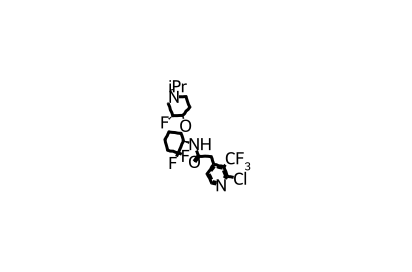 CC(C)N1CC[C@H](O[C@H]2CCCC(F)(F)[C@@H]2NC(=O)Cc2ccnc(Cl)c2C(F)(F)F)[C@H](F)C1